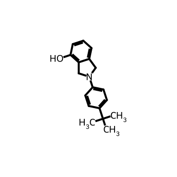 CC(C)(C)c1ccc(N2Cc3cccc(O)c3C2)cc1